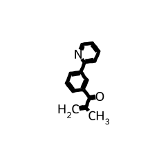 C=C(C)C(=O)c1cccc(-c2ccccn2)c1